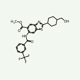 COC(=O)c1cc2nc(C3CCC(CO)CC3)sc2cc1NC(=O)c1cccc(C(F)(F)F)c1